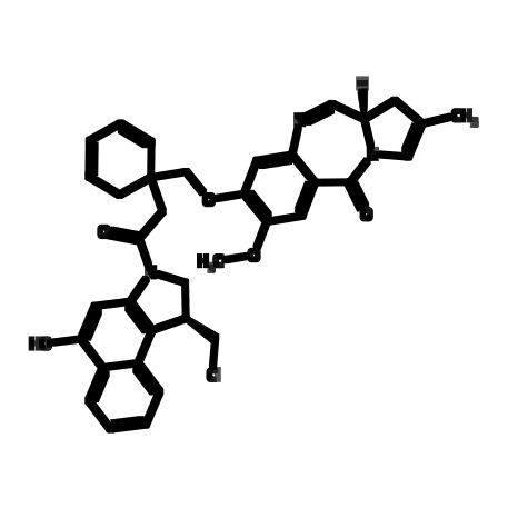 COc1cc2c(cc1OCC1(CC(=O)N3C[C@@H](CCl)c4c3cc(O)c3ccccc43)C=CC=CC1)N=C[C@@H]1CC(C)=CN1C2=O